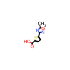 Cc1nc(-c2ccc(C(=O)O)s2)no1